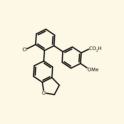 COc1ccc(-c2cccc(Cl)c2-c2ccc3c(c2)CCO3)cc1C(=O)O